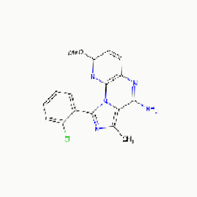 COc1ccc2nc(N)c3c(C)nc(-c4ccccc4Cl)n3c2n1